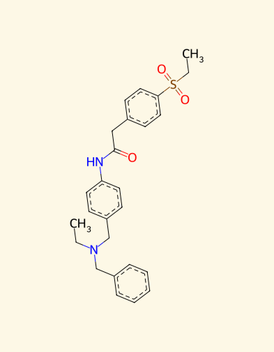 CCN(Cc1ccccc1)Cc1ccc(NC(=O)Cc2ccc(S(=O)(=O)CC)cc2)cc1